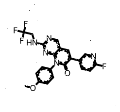 COc1ccc(-n2c(=O)c(-c3ccc(F)nc3)cc3cnc(NCC(F)(F)F)nc32)cc1